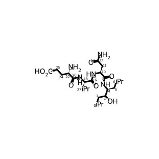 CC(C)CC(O)[C@H](CC(C)C)NC(=O)[C@H](CC(N)=O)NC(=O)[C@@H](NC(=O)[C@@H](N)CCC(=O)O)C(C)C